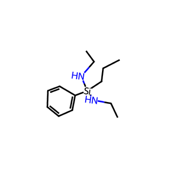 CCC[Si](NCC)(NCC)c1ccccc1